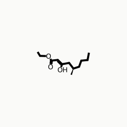 CCCC[C@@H](C)CC(O)=CC(=O)OCC